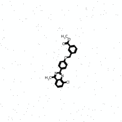 COC(=O)c1cccc(COc2ccc(-c3nc(C)c4cccc(Cl)c4n3)cc2)c1